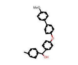 COc1ccc(-c2ccc(Oc3ccc(C(O)c4ccc(C)cc4)cc3)cc2)cc1